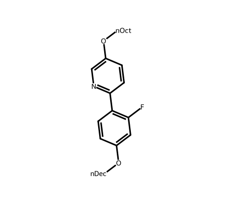 CCCCCCCCCCOc1ccc(-c2ccc(OCCCCCCCC)cn2)c(F)c1